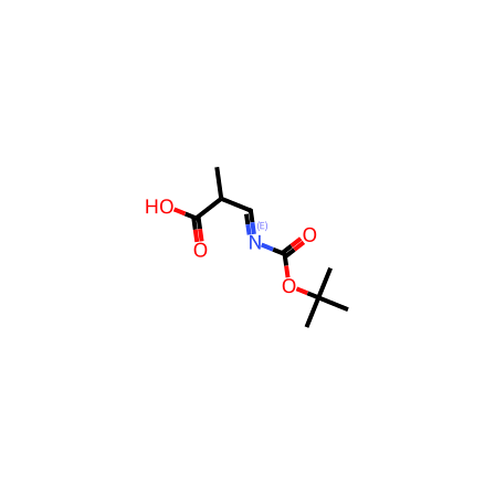 CC(/C=N/C(=O)OC(C)(C)C)C(=O)O